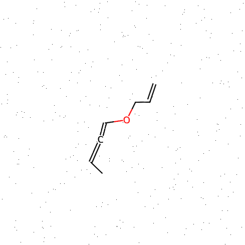 C=CCOC=C=CC